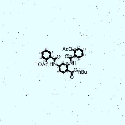 CCCCOC(=O)c1ccc(NC(=O)c2ccccc2OC(C)=O)cc1NC(=O)c1ccccc1OC(C)=O